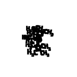 CC1=C(C)C(C)[C]([Ti]([O]c2cc(C)cc([Si](C)(C)C)c2)=[C](C)C)=C1C.Cl.Cl